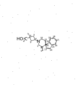 C[C@H]1CN(C2CC(C)(C(=O)O)C2)CC[C@@]12C=Cc1ccccc12